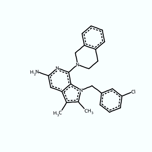 Cc1c(C)n(Cc2cccc(Cl)c2)c2c(N3CCc4ccccc4C3)nc(N)cc12